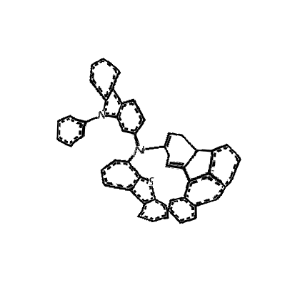 C1=C2c3c4ccccc4cc4cccc(c34)C2CC=C1N(c1ccc2c3ccccc3n(-c3ccccc3)c2c1)c1cccc2c1sc1ccccc12